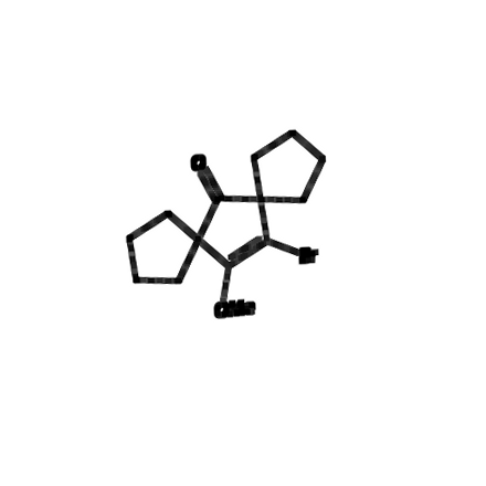 COC1=C(Br)C2(CCCC2)C(=O)C12CCCC2